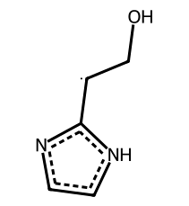 OC[CH]c1ncc[nH]1